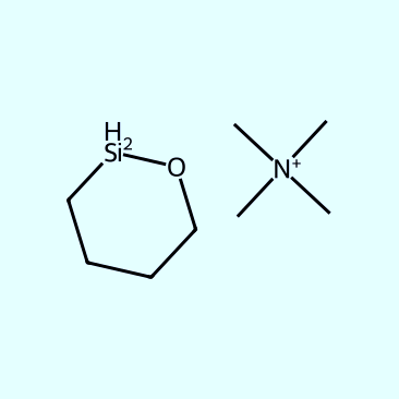 C1CC[SiH2]OC1.C[N+](C)(C)C